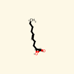 CCCCC=CCCC1OC1=O